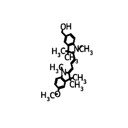 COc1ccc2c(c1)C(C)(C)C(=CC=CC1=[N+](C)c3ccc(CO)cc3C1(C)C)N2C